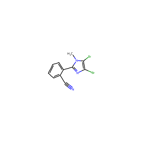 Cn1c(-c2ccccc2C#N)nc(Br)c1Br